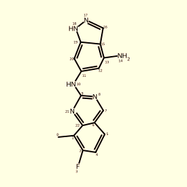 Cc1c(F)ccc2cnc(Nc3cc(N)c4cn[nH]c4c3)nc12